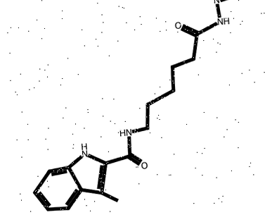 Cc1c(C(=O)NCCCCCC(=O)NN=O)[nH]c2ccccc12